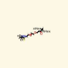 CCCCCCC(C)(CCCCCC)C(=O)CCOCCOCCNC(=S)C(C)(CC)CCCC